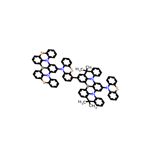 CC1(C)c2ccccc2N2c3cc(N4c5ccccc5Sc5ccccc54)cc4c3B(c3cccc1c32)c1cc(-c2cccc3c2Sc2ccccc2N3c2cc3c5c(c2)N2c6ccccc6Sc6cccc(c62)B5c2cccc5c2N3c2ccccc2S5)cc2c1N4c1ccccc1C2(C)C